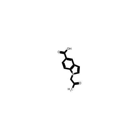 CC(=O)Cn1ccc2cc(C(=O)O)ccc21